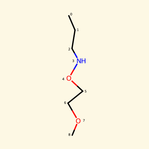 CCCNOCCOC